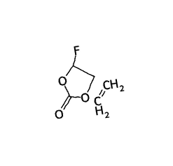 C=C.O=C1OCC(F)O1